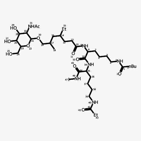 CCCCC(=O)NCCCCC(NC(=O)CCC(CC)CC(C)COC1OC(CO)C(O)C(O)C1NC(C)=O)C(=O)NC(CCCCNC(=O)CC)C(=O)NI